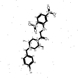 C[C@@H]1CN(C(=O)COc2cc([N+](=O)[O-])ccc2[N+](=O)[O-])[C@@H](C)CN1Cc1ccc(F)cc1